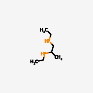 CCPCC(C)PCC